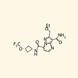 CCOCc1nn2c(C(=O)N[C@H]3C[C@@H](OC(F)(F)F)C3)ccnc2c1C(N)=O